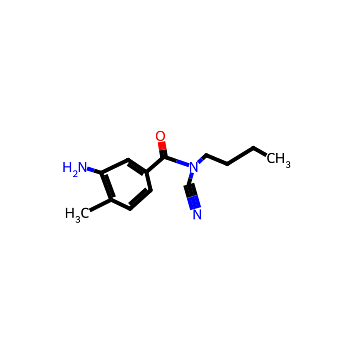 CCCCN(C#N)C(=O)c1ccc(C)c(N)c1